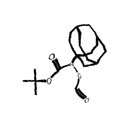 CC(C)(C)OC(=O)N(OC=O)C12CC3CC(CC(C3)C1)C2